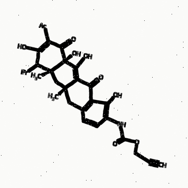 C#CCOC(=O)Nc1ccc2c(c1O)C(=O)C1=C(O)[C@@]3(O)C(=O)C(C(C)=O)=C(O)C(C(C)C)[C@@]3(C)C[C@@]1(C)C2